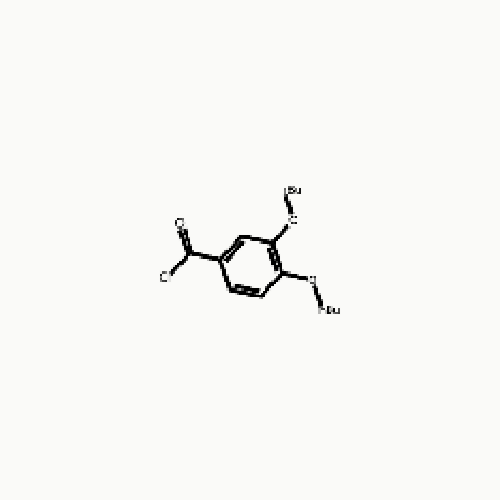 CCCCOc1ccc(C(=O)Cl)cc1OCCCC